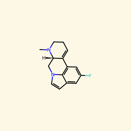 CN1CCC=C2c3cc(F)cc4ccn(c34)C[C@@H]21